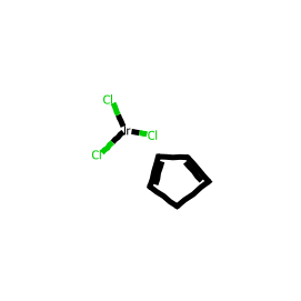 C1=CCC=C1.[Cl][Ir]([Cl])[Cl]